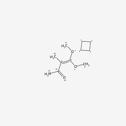 C1CCC1.COC(OC)=C(C)C(N)=O